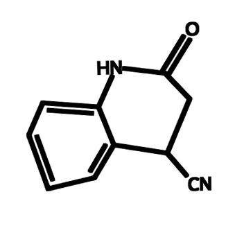 N#CC1CC(=O)Nc2ccccc21